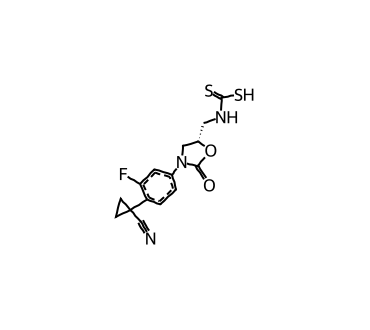 N#CC1(c2ccc(N3C[C@H](CNC(=S)S)OC3=O)cc2F)CC1